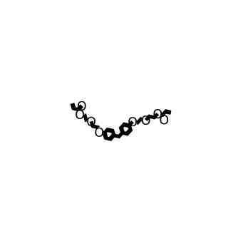 C=CC(=O)OCCOCCOc1ccc(Cc2ccc(OCCOCCOC(=O)C=C)cc2)cc1